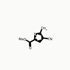 COC(=O)c1cc(C#N)c(C)s1